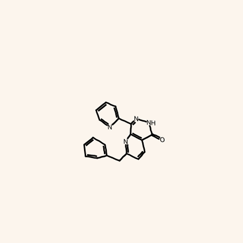 O=c1[nH]nc(-c2ccccn2)c2nc(Cc3ccccc3)ccc12